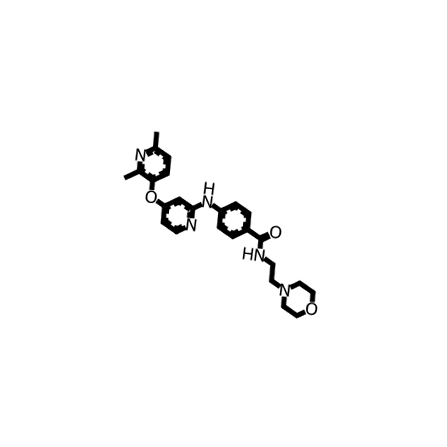 Cc1ccc(Oc2ccnc(Nc3ccc(C(=O)NCCN4CCOCC4)cc3)c2)c(C)n1